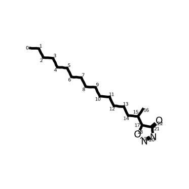 CCCCCCCCCCCCCCCC(C)C1ON=NC1=O